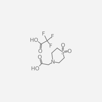 O=C(O)C(F)(F)F.O=C(O)CN1CCS(=O)(=O)CC1